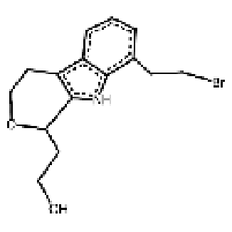 OCCC1OCCc2c1[nH]c1c(CCBr)cccc21